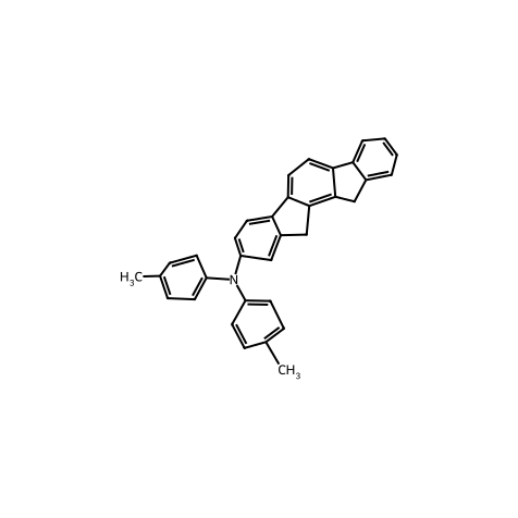 Cc1ccc(N(c2ccc(C)cc2)c2ccc3c(c2)Cc2c-3ccc3c2Cc2ccccc2-3)cc1